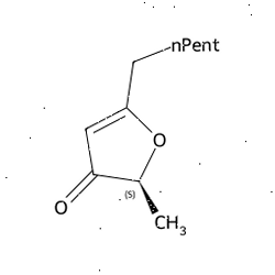 CCCCCCC1=CC(=O)[C@H](C)O1